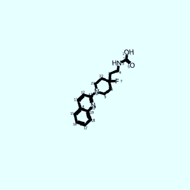 O=C(O)NCCC1(F)CCN(c2ccc3ccccc3n2)CC1